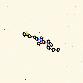 c1ccc(-c2ccc(-c3cccc(N(c4cccc(-c5ccccc5N(c5ccc6cc(-c7ccc8c(c7)sc7ccccc78)ccc6c5)c5cccc6ccccc56)c4)c4cccc5ccccc45)c3)cc2)cc1